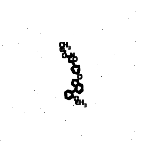 COCOc1cc(-c2ccc(OC3CCc4c(-c5ccccc5OC)cccc43)cc2)on1